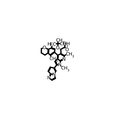 Cc1nc2c(cc(-c3ccc4nccn4c3)n2C)c(-c2cc(F)c3c(c2C)CCCO3)c1[C@H](OC(C)(C)C)C(=O)O